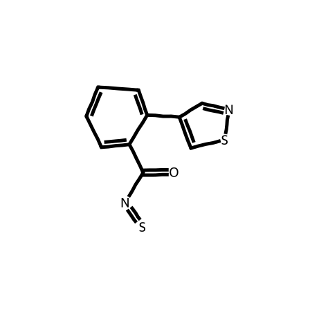 O=C(N=S)c1ccccc1-c1cnsc1